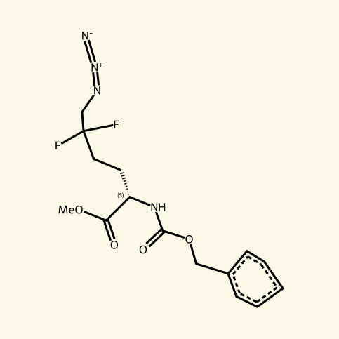 COC(=O)[C@H](CCC(F)(F)CN=[N+]=[N-])NC(=O)OCc1ccccc1